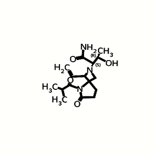 C=CC1N([C@H](C(N)=O)[C@@H](C)O)CC12CCC(=O)N2C(=O)C(C)C